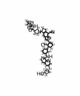 Cc1c(Nc2nccc3cc(CN4CC[C@@H](O)C4)cnc23)cccc1-c1cccc(-c2cc3cc4c(c(C#N)c3o2)CC[C@H]4N2CC[C@@H](C(=O)NS(=O)(=O)C3(C)CC3)C2)c1Cl